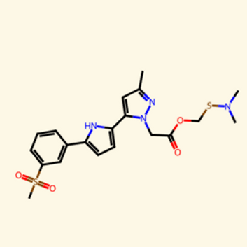 Cc1cc(-c2ccc(-c3cccc(S(C)(=O)=O)c3)[nH]2)n(CC(=O)OCSN(C)C)n1